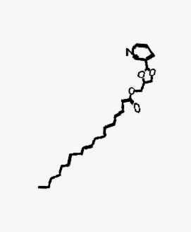 CCCCCCCCC=CCCCCCCCC(=O)OCC1COC(c2cccnc2)O1